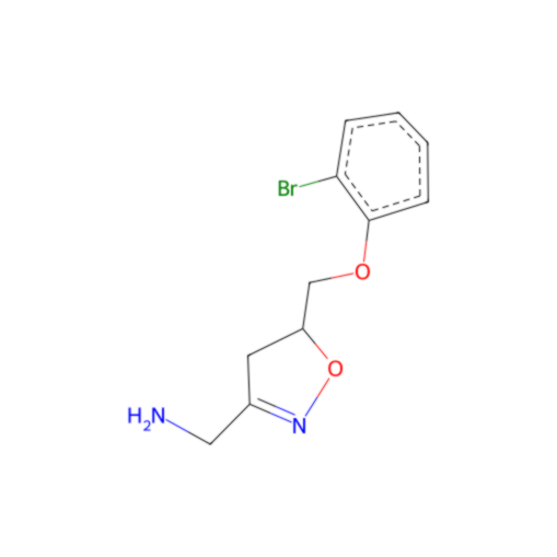 NCC1=NOC(COc2ccccc2Br)C1